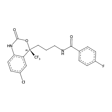 O=C1Nc2ccc(Cl)cc2[C@](CCCNC(=O)c2ccc(F)cc2)(C(F)(F)F)O1